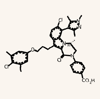 Cc1cc(OCCCc2c3n(c4c(-c5c(C)nn(C)c5C)c(Cl)ccc24)[C@H](C)CN(c2ccc(C(=O)O)cc2)C3=O)cc(C)c1Cl